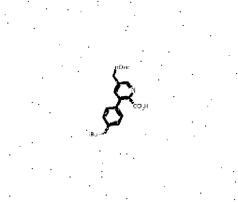 CCCCCCCCCCCc1cnc(C(=O)O)c(-c2ccc(C[C@@H](C)CC)cc2)c1